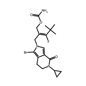 CC(C)(C)C(F)=C(COC(N)=O)Cn1cc2c(c1Br)CCN(C1CC1)C2=O